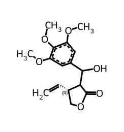 C=C[C@H]1COC(=O)C1C(O)c1cc(OC)c(OC)c(OC)c1